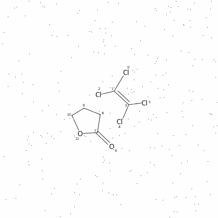 ClC(Cl)=C(Cl)Cl.O=C1CCCO1